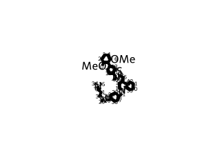 COc1cccc(OC)c1-c1ccc2c(c1)sc(C=C1C=CN(Cc3ccc(C[N+](C)(C)CCCN(C)C)cc3)c3ccccc31)[n+]2C